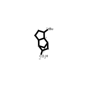 CC(C)(C)C1CCC2C3CC(CC3C(=O)O)C21